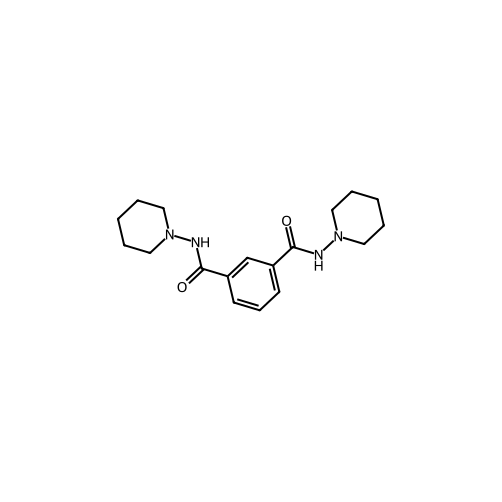 O=C(NN1CCCCC1)c1cccc(C(=O)NN2CCCCC2)c1